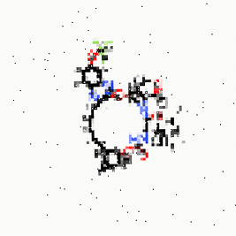 CC(=O)[C@@H]1[C@H](C)[C@@H]2CN1C(=O)[C@H](C(C)(C)C)NC(=O)O[C@@H]1CC3CC3[C@H]1CCCCCc1nc3ccc(OC(F)(F)F)cc3nc1O2